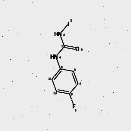 O=C(NI)Nc1ccc(F)cc1